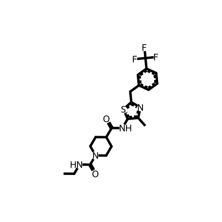 CCNC(=O)N1CCC(C(=O)Nc2sc(Cc3cccc(C(F)(F)F)c3)nc2C)CC1